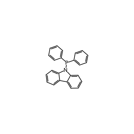 c1ccc(P(c2ccccc2)n2c3ccccc3c3ccccc32)cc1